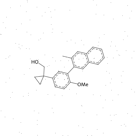 COc1ccc(C2(CO)CC2)cc1-c1cc2ccccc2cc1C